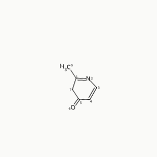 CC1=NC=CC(=O)C1